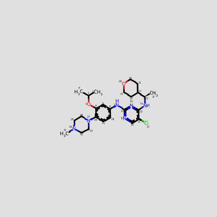 CC(C)Oc1cc(Nc2ncc(Cl)c(N[C@H](C)C3CCOCC3)n2)ccc1N1CCN(C)CC1